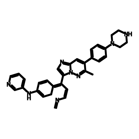 C=N/C=C\C(=C1\C=CC(Nc2cccnc2)=CC1)c1cnc2cc(-c3ccc(N4CCNCC4)cc3)c(C)nn12